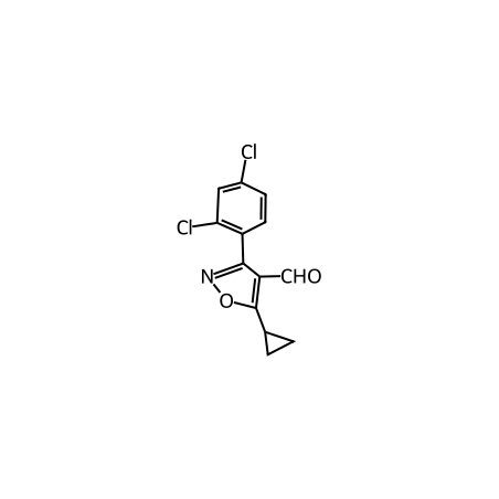 O=Cc1c(-c2ccc(Cl)cc2Cl)noc1C1CC1